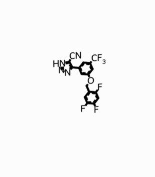 N#Cc1[nH]nnc1-c1cc(OCc2cc(F)c(F)cc2F)cc(C(F)(F)F)c1